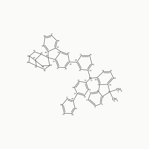 CC1(C)c2ccccc2-c2c(N(c3ccc(-c4ccccc4)cc3)c3cccc(-c4ccc5c(c4)-c4ccccc4C54C5CC6CC(C5)CC4C6)c3)cccc21